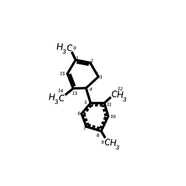 CC1=CCC(c2ccc(C)cc2C)C(C)=C1